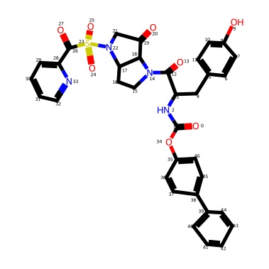 O=C(NC(Cc1ccc(O)cc1)C(=O)N1CCC2C1C(=O)CN2S(=O)(=O)C(=O)c1ccccn1)Oc1ccc(-c2ccccc2)cc1